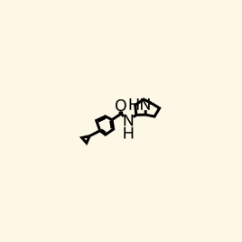 O=C(NC1CCC2CCC1N2)c1ccc(C2CC2)cc1